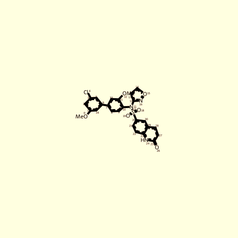 COc1cc(Cl)cc(-c2ccc(N(c3ccon3)S(=O)(=O)c3ccc4[nH]c(=O)ccc4c3)c(OC)c2)c1